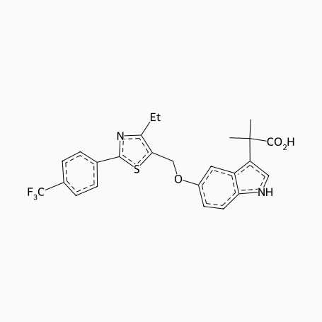 CCc1nc(-c2ccc(C(F)(F)F)cc2)sc1COc1ccc2[nH]cc(C(C)(C)C(=O)O)c2c1